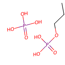 CCCOP(=O)(O)O.O=P(O)(O)O